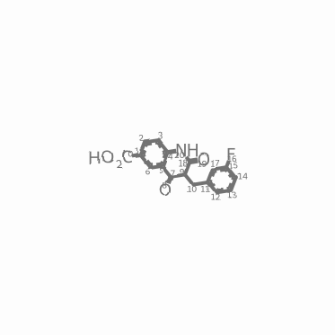 O=C(O)c1ccc2c(c1)C(=O)C(Cc1cccc(F)c1)C(=O)N2